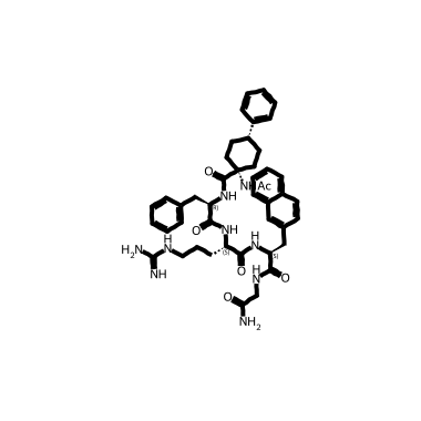 CC(=O)N[C@]1(C(=O)N[C@H](Cc2ccccc2)C(=O)N[C@@H](CCCNC(=N)N)C(=O)N[C@@H](Cc2ccc3ccccc3c2)C(=O)NCC(N)=O)CC[C@H](c2ccccc2)CC1